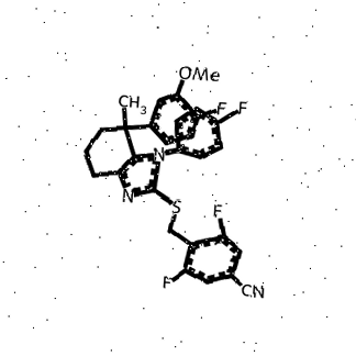 COc1cc(C2(C)CCCc3nc(SCc4c(F)cc(C#N)cc4F)n(-c4ccc(F)cc4)c32)ccc1F